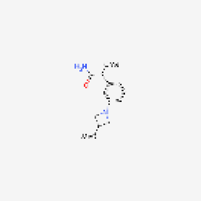 COC1CN(c2cccc(C(OC)C(N)=O)c2)C1